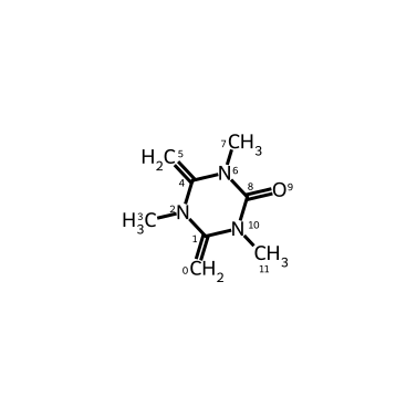 C=C1N(C)C(=C)N(C)C(=O)N1C